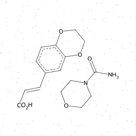 NC(=O)N1CCOCC1.O=C(O)/C=C/c1ccc2c(c1)OCCO2